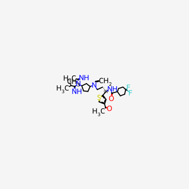 C=CN(CC[C@H](NC(=O)C1CCC(F)(F)CC1)c1cc(C(C)=O)cs1)C1CCC(N(C(C)=N)C(=N)C(C)C)C1